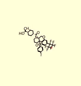 C=C(O)[C@H]1CC[C@H](C(=O)N2CCCC3(S(=O)(=O)c4ccc(I)cc4)c4ccc(C(F)(C(F)(F)F)C(F)(F)F)cc4OCC23)CC1